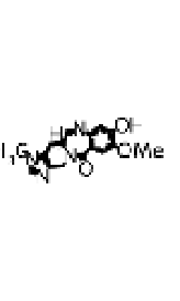 COc1cc2c(cc1O)N=C[C@@H]1Cc3c(ncn3C)CN1C2=O